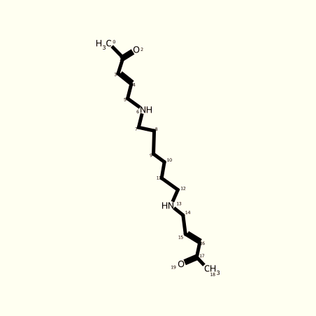 CC(=O)C=CCNCCCCCCNCC=CC(C)=O